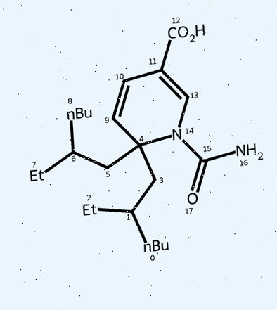 CCCCC(CC)CC1(CC(CC)CCCC)C=CC(C(=O)O)=CN1C(N)=O